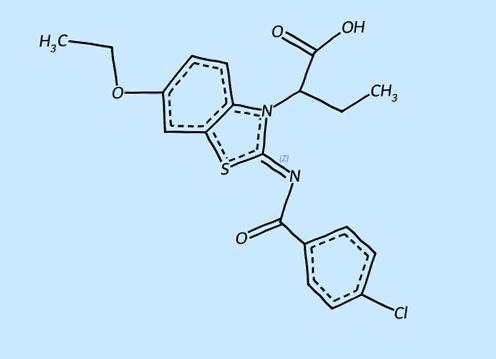 CCOc1ccc2c(c1)s/c(=N\C(=O)c1ccc(Cl)cc1)n2C(CC)C(=O)O